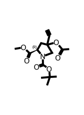 C#CC1(OC(C)=O)C[C@H](C(=O)OC)N(C(=O)OC(C)(C)C)C1